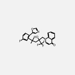 CC(C)(CC(O)(Cn1ccc(=O)c2ccccc21)C(F)(F)F)c1cc(F)ccc1-c1cnco1